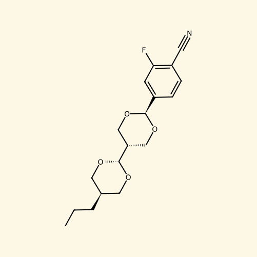 CCC[C@H]1CO[C@H]([C@H]2CO[C@H](c3ccc(C#N)c(F)c3)OC2)OC1